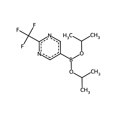 CC(C)OB(OC(C)C)c1cnc(C(F)(F)F)nc1